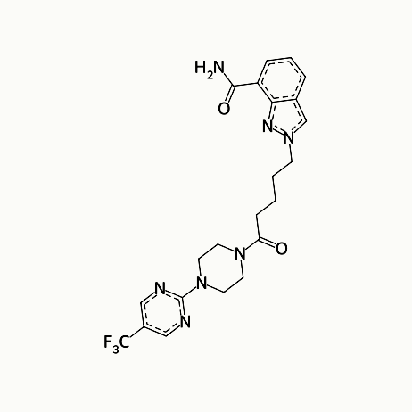 NC(=O)c1cccc2cn(CCCCC(=O)N3CCN(c4ncc(C(F)(F)F)cn4)CC3)nc12